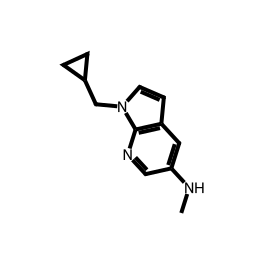 CNc1cnc2c(ccn2CC2CC2)c1